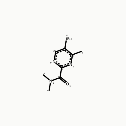 Cc1nc(C(=O)N(C)C)ncc1C(C)(C)C